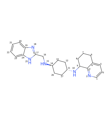 c1cnc2c(c1)CCCC2N[C@H]1CC[C@H](NCc2nc3ccccc3[nH]2)CC1